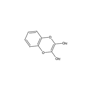 OC1=C(O)Oc2ccc[c]c2O1